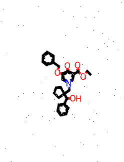 CCOC(=O)c1cn(CC2(C(O)c3ccccc3)CCCC2)cc(OCc2ccccc2)c1=O